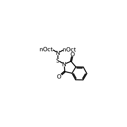 CCCCCCCCN(CCCCCCCC)SN1C(=O)c2ccccc2C1=O